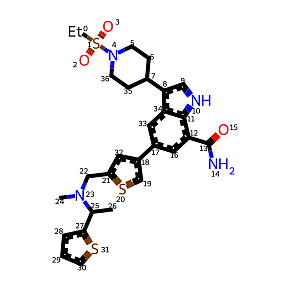 CCS(=O)(=O)N1CCC(c2c[nH]c3c(C(N)=O)cc(-c4csc(CN(C)C(C)c5cccs5)c4)cc23)CC1